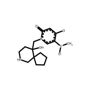 C[S+]([O-])c1cn(CC2(O)CCNCC23CCCC3)c(=O)cc1Cl